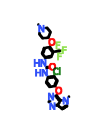 CN1CCC(Oc2ccc(NC(=O)Nc3ccc(Oc4ncnc5ccn(C)c45)cc3Cl)cc2C(F)(F)F)CC1